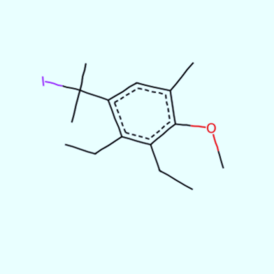 CCc1c(C(C)(C)I)cc(C)c(OC)c1CC